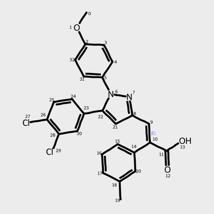 COc1ccc(-n2nc(/C=C(/C(=O)O)c3cccc(C)c3)cc2-c2ccc(Cl)c(Cl)c2)cc1